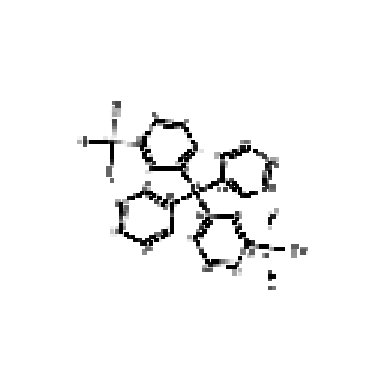 FC(F)(F)c1cccc(C(c2ccccc2)(c2ccccc2)c2cccc(C(F)(F)F)c2)c1